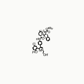 CN(C(=O)OC(C)(C)C)[C@@H](Cc1ccccc1)C(=O)N1CCCC[C@@H]1C(=O)Nc1ccc(-c2cn(CCO)nc2-c2cc(Cl)ccc2O)cc1